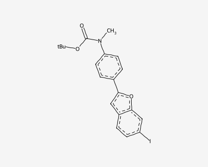 CN(C(=O)OC(C)(C)C)c1ccc(-c2cc3ccc(I)cc3o2)cc1